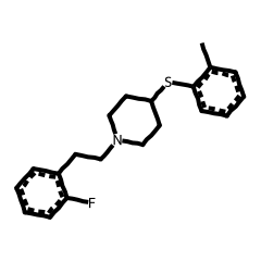 Cc1ccccc1SC1CCN(CCc2ccccc2F)CC1